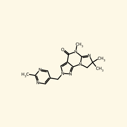 Cc1ncc(Cn2cc3c(n2)N2CC(C)(C)N=C2N(C)C3=O)cn1